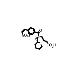 CCCCCCCC/C=C\c1ccc(C(=O)N(CCCC(=O)O)OC2CCCCO2)cc1